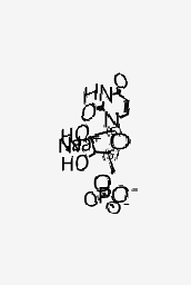 O=c1ccn([C@H]2O[C@@H](COP(=O)([O-])[O-])C(O)C2O)c(=O)[nH]1.[Na+].[Na+]